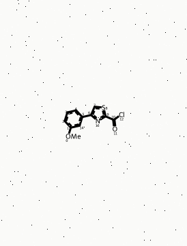 COc1cccc(-c2csc(C(=O)Cl)n2)c1